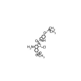 CN(C)CCOc1ccc2[nH]c(C(=O)N3CC(CCl)c4c3cc(N)c3ccc(S(C)(=O)=O)cc43)cc2c1